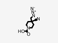 N#CC1(CN=[N+]=[N-])CCN(C(=O)O)CC1